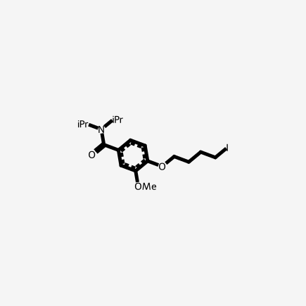 COc1cc(C(=O)N(C(C)C)C(C)C)ccc1OCCCCI